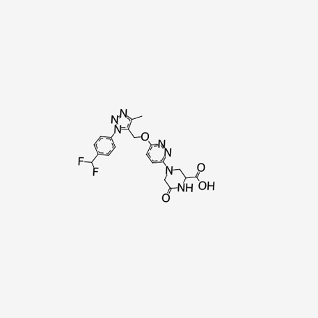 Cc1nnn(-c2ccc(C(F)F)cc2)c1COc1ccc(N2CC(=O)NC(C(=O)O)C2)nn1